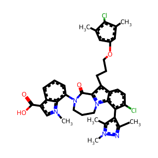 Cc1cc(OCCCc2c3n(c4c(-c5c(C)nn(C)c5C)c(Cl)ccc24)CCCN(c2cccc4c(C(=O)O)cn(C)c24)C3=O)cc(C)c1Cl